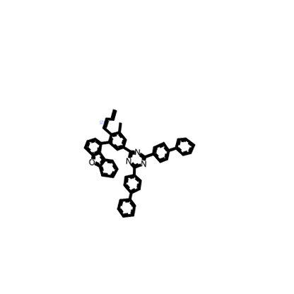 C=C/C=C\c1c(C)cc(-c2nc(-c3ccc(-c4ccccc4)cc3)nc(-c3ccc(-c4ccccc4)cc3)n2)cc1-c1cccc2oc3ccccc3c12